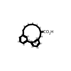 O=C(O)C1CCCCCCc2cccc(c2)-c2cccc(c2)C1